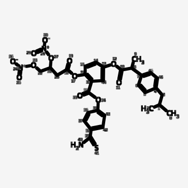 CC(C)Cc1ccc(C(C)C(=O)Oc2ccc(OC(=O)CC(CO[N+](=O)[O-])O[N+](=O)[O-])c(C(=O)Oc3ccc(C(N)=S)cc3)c2)cc1